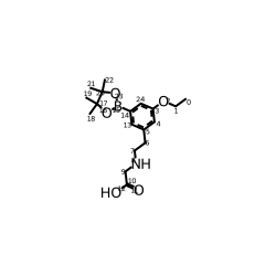 CCOc1cc(CCNCC(=O)O)cc(B2OC(C)(C)C(C)(C)O2)c1